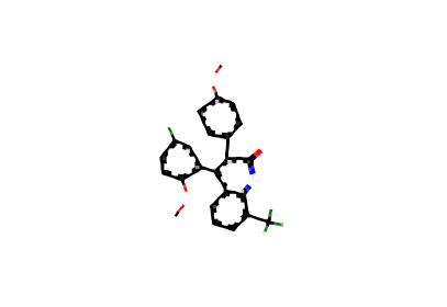 COc1ccc(-c2c(-c3cc(Cl)ccc3OC)c3cccc(C(F)(F)F)c3[nH]c2=O)cc1